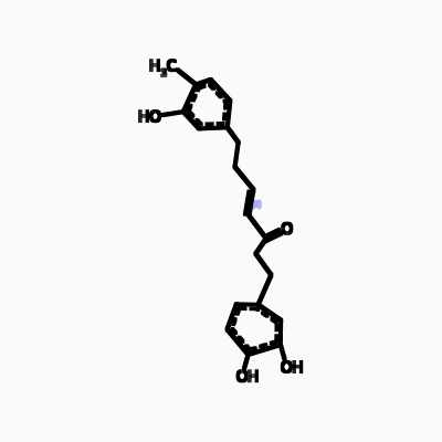 Cc1ccc(CC/C=C/C(=O)CCc2ccc(O)c(O)c2)cc1O